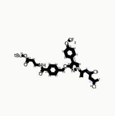 C=C(/C=C(Cl)\C=C(/C)Cl)n1cc(-c2ccc(OC(F)(F)F)cc2)c(OCc2ccc(C(=O)NCCC(=O)OC(C)(C)C)cc2)n1